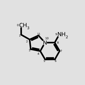 CCc1cc2cccc(N)n2c1